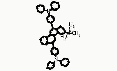 CC(C)(C)c1ccc2c(-c3ccc(N(c4ccccc4)c4ccccc4)cc3)cc3c4ccccc4c(-c4ccc(N(c5ccccc5)c5ccccc5)cc4)cc3c2c1